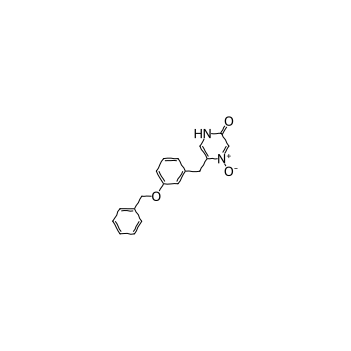 O=c1c[n+]([O-])c(Cc2cccc(OCc3ccccc3)c2)c[nH]1